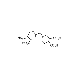 O=C(O)C1CCC(OC2CCC(C(=O)O)C(C(=O)O)C2)CC1C(=O)O